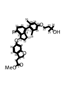 COC(=O)CC1COc2cc(O[C@@H]3CCc4c(-c5c(C)cc(OCCC(C)(C)O)cc5C)ccc(F)c43)ccc21